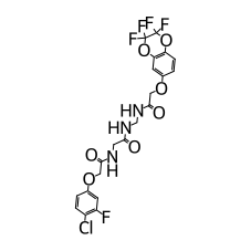 O=C(CNC(=O)COc1ccc(Cl)c(F)c1)NCNC(=O)COc1ccc2c(c1)OC(F)(F)C(F)(F)O2